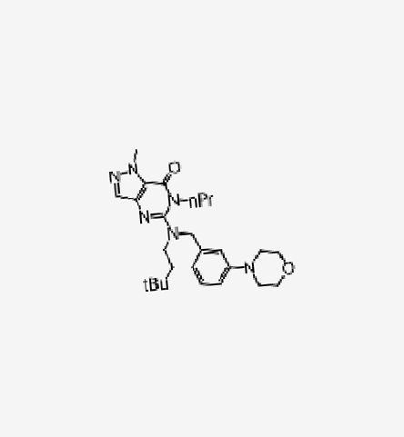 CCCn1c(N(CCC(C)(C)C)Cc2cccc(N3CCOCC3)c2)nc2cnn(C)c2c1=O